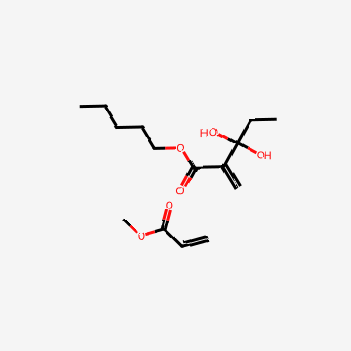 C=C(C(=O)OCCCCC)C(O)(O)CC.C=CC(=O)OC